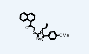 C=CCn1c(SCC(=O)c2cccc3ccccc23)nnc1-c1ccc(OC)cc1